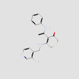 C=C(Nc1ccccc1)C1=C(NCc2ccncc2C(F)(F)F)CSCC1=O